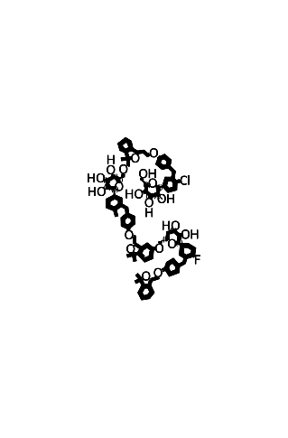 Cc1ccc([C@@H]2O[C@H](COCC3(C)OC(CCOc4ccc(Cc5cc([C@@H]6O[C@H](CO)C(O)[C@H](O)[C@H]6O)ccc5Cl)cc4)c4ccccc43)[C@@H](O)[C@H](O)[C@H]2O)cc1Cc1ccc(OCC2OC(C)(C)c3ccc(OC[C@@H]4C[C@H](O)[C@@H](O)[C@H](c5ccc(F)c(Cc6ccc(OCC7OC(C)(C)c8ccccc87)cc6)c5)O4)cc32)cc1